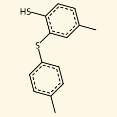 Cc1ccc(Sc2cc(C)ccc2S)cc1